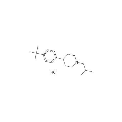 CC(C)CN1CCC(c2ccc(C(C)(C)C)cc2)CC1.Cl